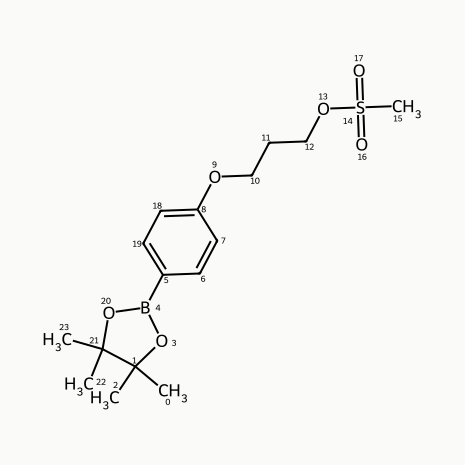 CC1(C)OB(c2ccc(OCCCOS(C)(=O)=O)cc2)OC1(C)C